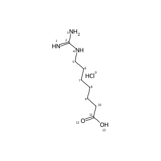 Cl.N=C(N)NCCCCCCC(=O)O